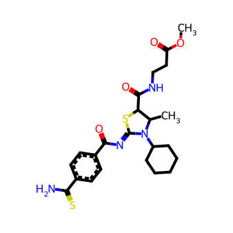 COC(=O)CCNC(=O)C1SC(=NC(=O)c2ccc(C(N)=S)cc2)N(C2CCCCC2)C1C